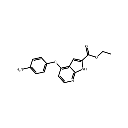 CCOC(=O)c1cc2c(Oc3ccc(N)cc3)ccnc2[nH]1